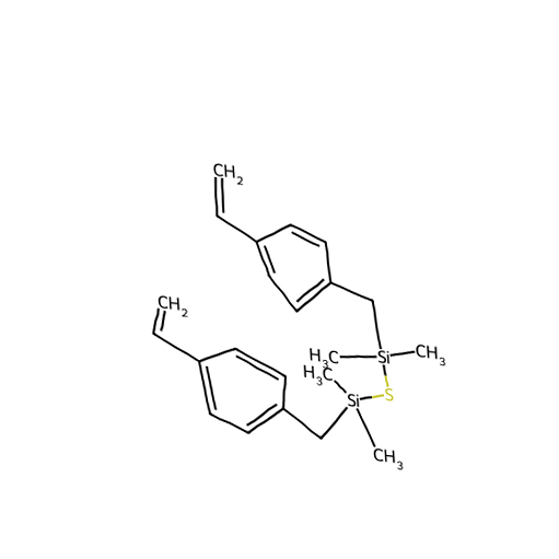 C=Cc1ccc(C[Si](C)(C)S[Si](C)(C)Cc2ccc(C=C)cc2)cc1